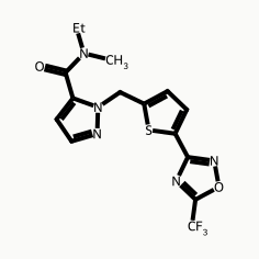 CCN(C)C(=O)c1ccnn1Cc1ccc(-c2noc(C(F)(F)F)n2)s1